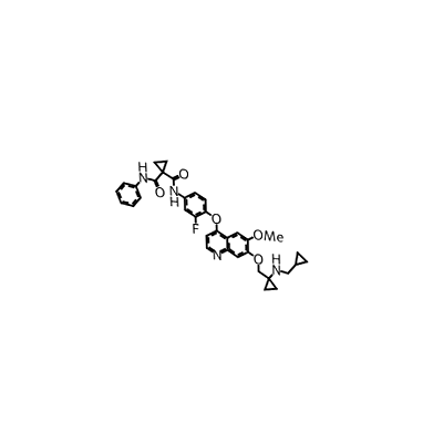 COc1cc2c(Oc3ccc(NC(=O)C4(C(=O)Nc5ccccc5)CC4)cc3F)ccnc2cc1OCC1(NCC2CC2)CC1